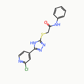 O=C(CSc1nnc(-c2ccnc(Cl)c2)[nH]1)Nc1ccccc1